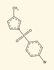 Cc1ccn(S(=O)(=O)c2ccc(Br)cc2)c1